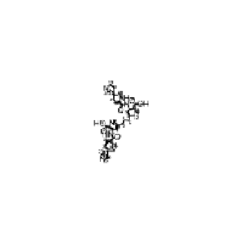 O=C(Nc1cc(CCCc2cnc(C(=O)O)c(NC(=O)c3ccc(-n4ccnc4)nn3)c2)cnc1C(=O)O)c1ccc(-n2ccnc2)nn1